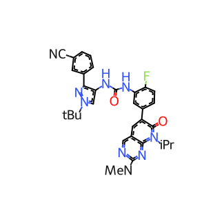 CNc1ncc2cc(-c3ccc(F)c(NC(=O)Nc4cn(C(C)(C)C)nc4-c4cccc(C#N)c4)c3)c(=O)n(C(C)C)c2n1